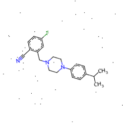 CC(C)c1ccc(N2CCN(Cc3cc(F)ccc3C#N)CC2)cc1